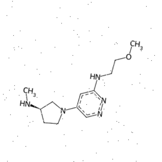 CN[C@@H]1CCN(c2cnnc(NCCOC)c2)C1